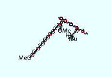 C/C=C/c1ccc(/C=C/c2ccc(/C=C/c3ccc(/C=C/c4ccc5c(c4)C(CCCOCCOC)(CCCOCCOCCOCCOCCOCCOCCOCCOCCOCCOCCOCCOC)c4cc(C)ccc4-5)cc3)cc2OCCCCNC(=O)OC(C)(C)C)cc1